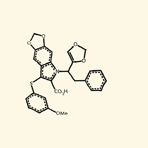 COc1cccc(Sc2c(C(=O)O)n(C(Cc3ccccc3)C3=COCO3)c3cc4c(cc23)OCO4)c1